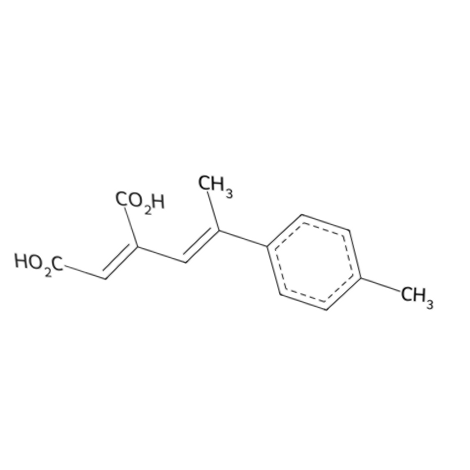 CC(=C/C(=C/C(=O)O)C(=O)O)c1ccc(C)cc1